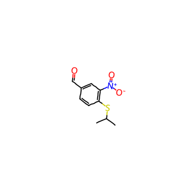 CC(C)Sc1ccc(C=O)cc1[N+](=O)[O-]